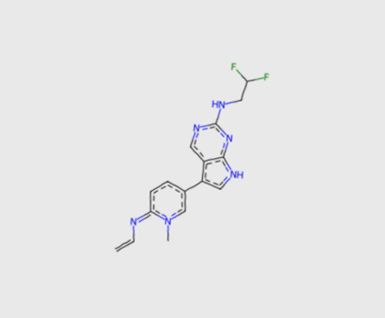 C=C/N=c1/ccc(-c2c[nH]c3nc(NCC(F)F)ncc23)cn1C